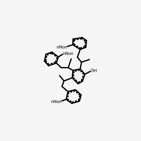 CCCCCCCCCc1ccccc1CC(C)c1ccc(O)c(C(C)Cc2ccccc2CCCCCCCCC)c1C(C)Cc1ccccc1CCCCCCCCC